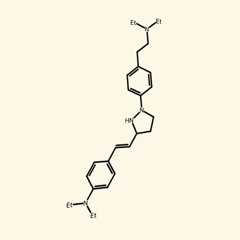 CCN(CC)CCc1ccc(N2CCC(C=Cc3ccc(N(CC)CC)cc3)N2)cc1